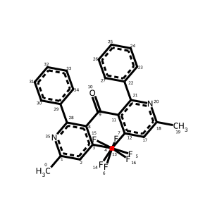 Cc1cc(C(F)(F)F)c(C(=O)c2c(C(F)(F)F)cc(C)nc2-c2ccccc2)c(-c2ccccc2)n1